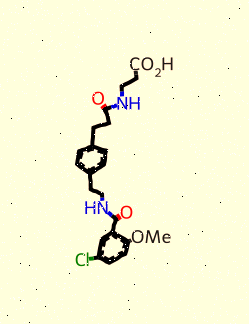 COc1ccc(Cl)cc1C(=O)NCCc1ccc(CCC(=O)NCCC(=O)O)cc1